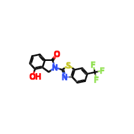 O=C1c2cccc(O)c2CN1c1nc2ccc(C(F)(F)F)cc2s1